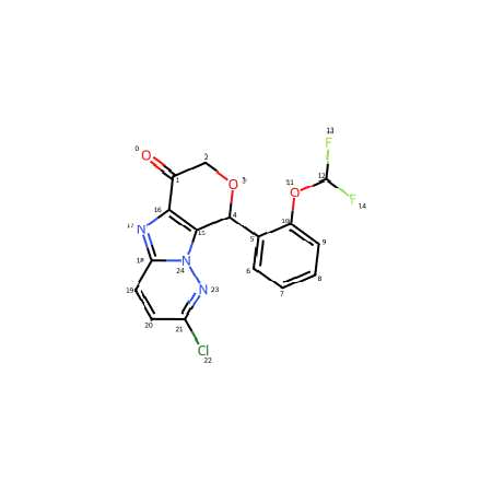 O=C1COC(c2ccccc2OC(F)F)c2c1nc1ccc(Cl)nn21